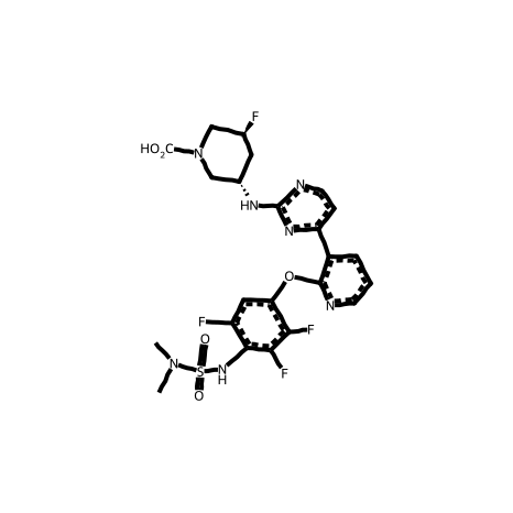 CN(C)S(=O)(=O)Nc1c(F)cc(Oc2ncccc2-c2ccnc(N[C@H]3C[C@H](F)CN(C(=O)O)C3)n2)c(F)c1F